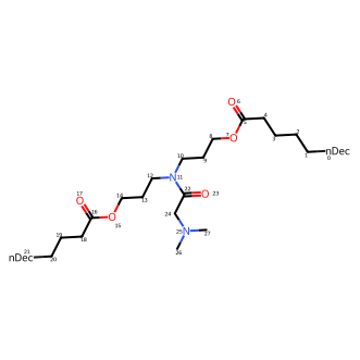 CCCCCCCCCCCCCCC(=O)OCCCN(CCCOC(=O)CCCCCCCCCCCCC)C(=O)CN(C)C